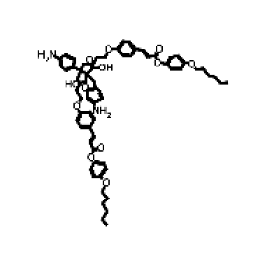 CCCCCCOc1ccc(OC(=O)C=Cc2ccc(OCCCCC(CCCCOc3ccc(C=CC(=O)Oc4ccc(OCCCCCC)cc4)cc3)(c3ccc(N)cc3)C(Cc3ccc(N)cc3)(C(=O)O)C(=O)O)cc2)cc1